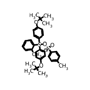 Cc1ccc(S(=O)(=O)OS(c2ccc(OC(C)(C)C)cc2)(c2ccc(OC(C)(C)C)cc2)c2ccccc2C)cc1